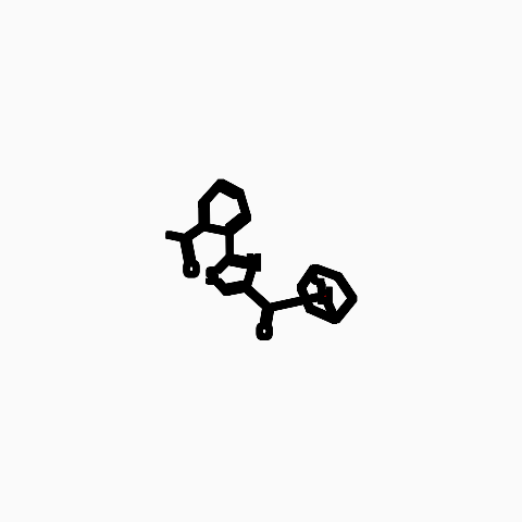 CC(=O)c1ccccc1-c1nc(C(=O)N2CC3CCC(CC3)C2)cs1